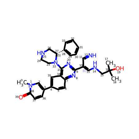 Cn1cc(-c2ccc3nc(/C(C=N)=C/NCC(C)(C)O)nc(N4CCNC[C@@H]4c4ccccc4)c3c2)ccc1=O